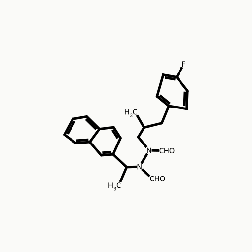 CC(Cc1ccc(F)cc1)CN(C=O)N(C=O)C(C)c1ccc2ccccc2c1